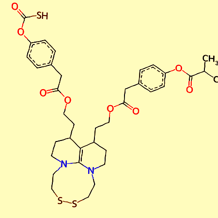 CC(C)C(=O)Oc1ccc(CC(=O)OCCC2CCN3CCSSCCN4CCC(CCOC(=O)Cc5ccc(OC(=O)S)cc5)C2=C43)cc1